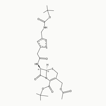 CC(=O)OCC1=C(C(=O)OC(C)(C)C)N2C(=O)[C@@H](NC(=O)Cc3cc(CNC(=O)OC(C)(C)C)cs3)[C@H]2SC1